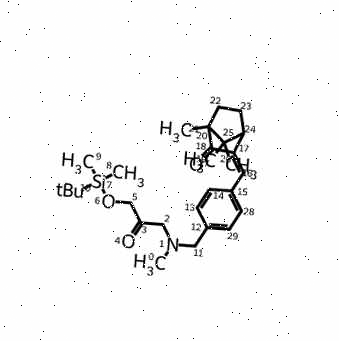 CN(CC(=O)CO[Si](C)(C)C(C)(C)C)Cc1ccc(/C=C2\C(=O)C3(C)CCC2C3(C)C)cc1